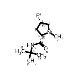 CN1C[C@@H](F)C[C@H]1C(=O)NC(C)(C)C